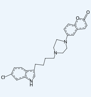 O=c1ccc2cc(N3CCN(CCCCc4c[nH]c5cc(Cl)ccc45)CC3)ccc2o1